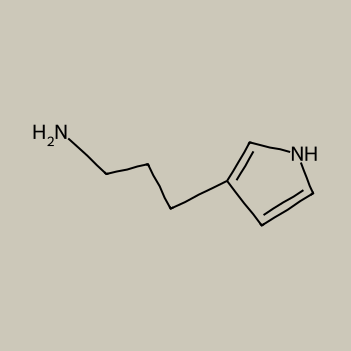 NCCCc1cc[nH]c1